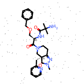 CN1N=C2CCN(C(=O)[C@@H](COCc3ccccc3)NC(=O)C(C)(C)N)C[C@]2(Cc2ccccn2)C1=O